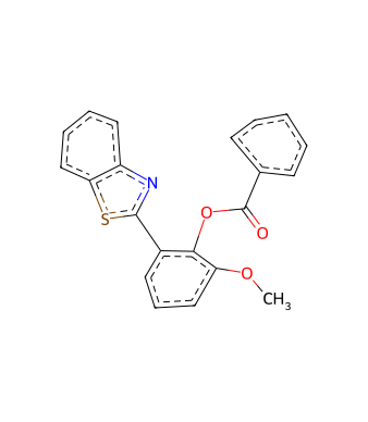 COc1cccc(-c2nc3ccccc3s2)c1OC(=O)c1ccccc1